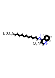 CCOC(=O)CCCCCCCCCCCNc1c([N+](=O)[O-])cnc2ccccc12